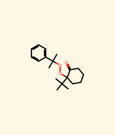 CC(C)(OOC1(C(C)(C)C)CCCCC1=O)c1ccccc1